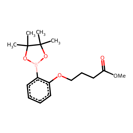 COC(=O)CCCOc1ccccc1B1OC(C)(C)C(C)(C)O1